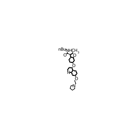 CCCCNC(=O)c1c(C)oc2cc(Oc3ccnc4cc(OCCN5CCCC5)ccc34)ccc12